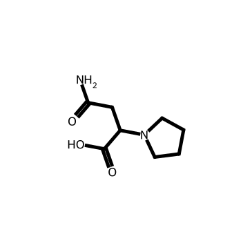 NC(=O)CC(C(=O)O)N1CCCC1